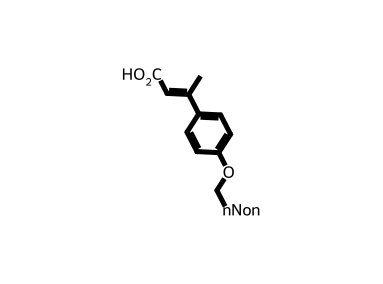 CCCCCCCCCCOc1ccc(C(C)=CC(=O)O)cc1